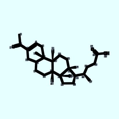 CC(=O)C1=CC[C@@]2(C)C(CC[C@H]3[C@@H]4CC[C@H]([C@H](C)CCC(=O)O)[C@@]4(C)CC[C@@H]32)C1